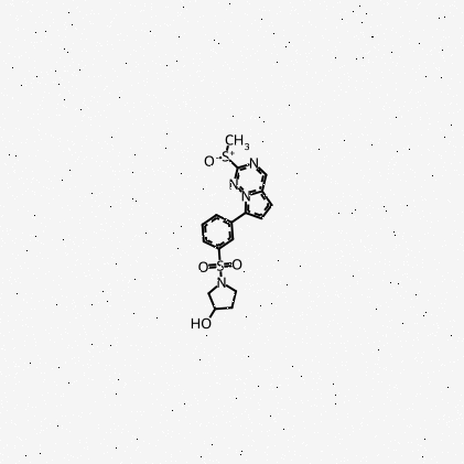 C[S+]([O-])c1ncc2ccc(-c3cccc(S(=O)(=O)N4CCC(O)C4)c3)n2n1